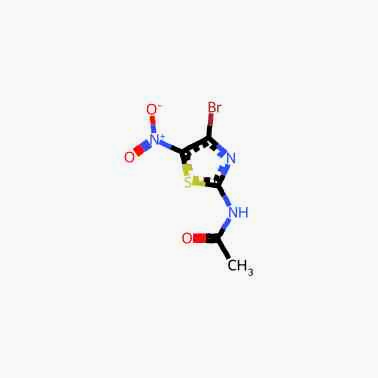 CC(=O)Nc1nc(Br)c([N+](=O)[O-])s1